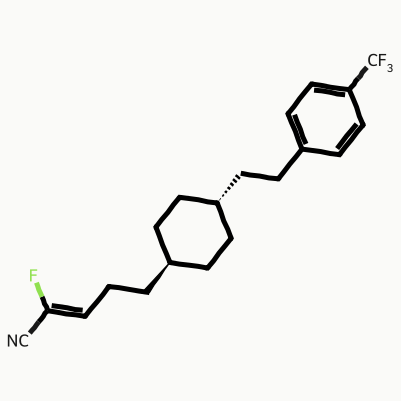 N#C/C(F)=C/CC[C@H]1CC[C@H](CCc2ccc(C(F)(F)F)cc2)CC1